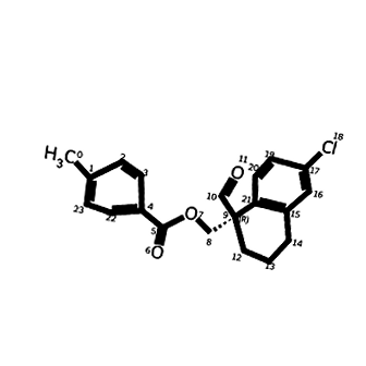 Cc1ccc(C(=O)OC[C@@]2(C=O)CCCc3cc(Cl)ccc32)cc1